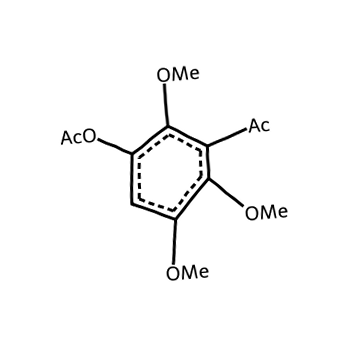 COc1cc(OC(C)=O)c(OC)c(C(C)=O)c1OC